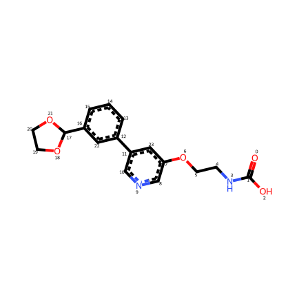 O=C(O)NCCOc1cncc(-c2cccc(C3OCCO3)c2)c1